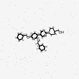 OCC1CCN(c2ncc(-c3ccc(OCc4ccccc4)nc3OCc3ccccc3)cn2)CC1